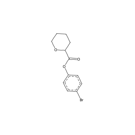 O=C(Oc1ccc(Br)cc1)C1CCCCO1